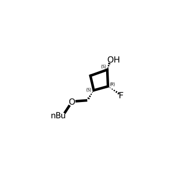 CCCCOC[C@@H]1C[C@H](O)[C@@H]1F